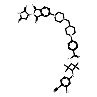 CC1(C)[C@H](NC(=O)c2ccc(N3CCC(CN4CCN(c5ccc6c(c5)C(=O)N([C@@H]5CC(=O)NC5=O)C6=O)CC4)CC3)cc2)C(C)(C)[C@H]1Oc1ccc(C#N)c(Cl)c1